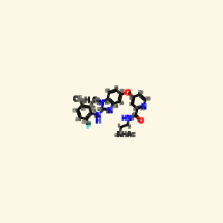 CC(=O)NCCNC(=O)c1cc(Oc2ccc3c(c2)nc(Nc2cc(C(F)(F)F)ccc2F)n3C)ccn1